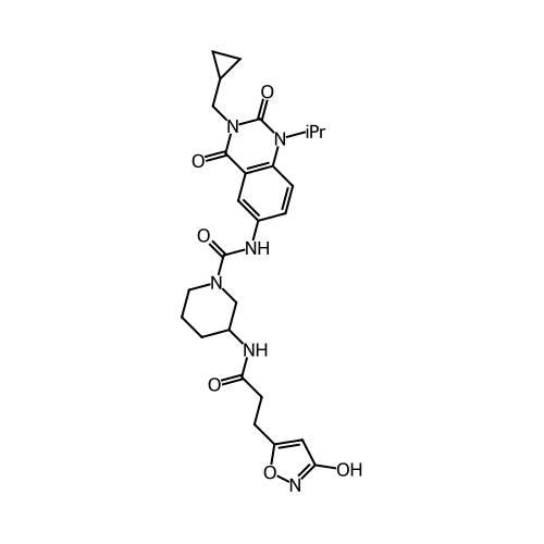 CC(C)n1c(=O)n(CC2CC2)c(=O)c2cc(NC(=O)N3CCCC(NC(=O)CCc4cc(O)no4)C3)ccc21